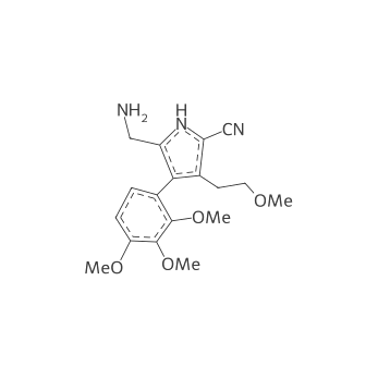 COCCc1c(C#N)[nH]c(CN)c1-c1ccc(OC)c(OC)c1OC